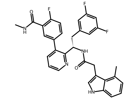 CNC(=O)c1cc(-c2cccnc2[C@H](Cc2cc(F)cc(F)c2)NC(=O)Cc2c[nH]c3cccc(C)c23)ccc1F